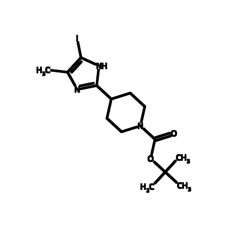 Cc1nc(C2CCN(C(=O)OC(C)(C)C)CC2)[nH]c1I